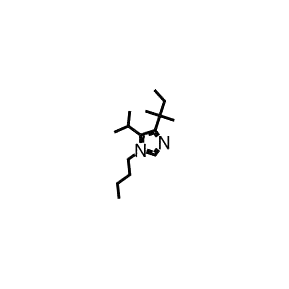 CCCCn1cnc(C(C)(C)CC)c1C(C)C